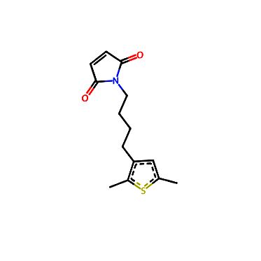 Cc1cc(CCCCN2C(=O)C=CC2=O)c(C)s1